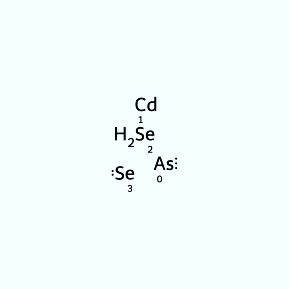 [As].[Cd].[SeH2].[Se]